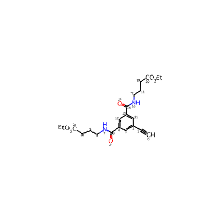 C#Cc1cc(C(=O)NCCCC(=O)OCC)cc(C(=O)NCCCC(=O)OCC)c1